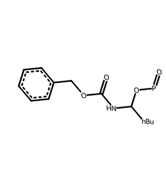 CCCCC(NC(=O)OCc1ccccc1)OP=O